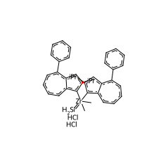 CC(C)c1cc2c(-c3ccccc3)ccccc-2[c]1[Zr]([CH3])([CH3])(=[SiH2])[c]1c2ccccc(-c3ccccc3)c-2cc1C(C)C.Cl.Cl